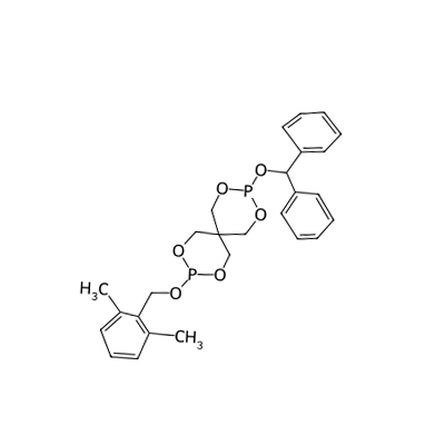 Cc1cccc(C)c1COP1OCC2(CO1)COP(OC(c1ccccc1)c1ccccc1)OC2